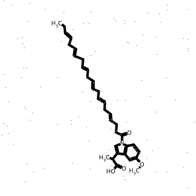 CCC=CCC=CCC=CCC=CCC=CCC=CCCC(=O)n1cc(C(C)C(=O)O)c2cc(OC)ccc21